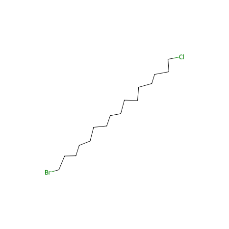 ClCCCCCCCCCCCCCCCCBr